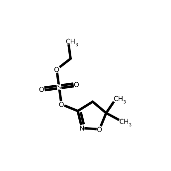 CCOS(=O)(=O)OC1=NOC(C)(C)C1